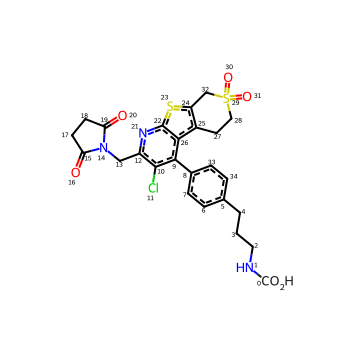 O=C(O)NCCCc1ccc(-c2c(Cl)c(CN3C(=O)CCC3=O)nc3sc4c(c23)CCS(=O)(=O)C4)cc1